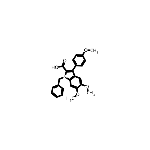 COc1ccc(-c2c(C(=O)O)n(Cc3ccccc3)c3cc(OC)c(OC)cc23)cc1